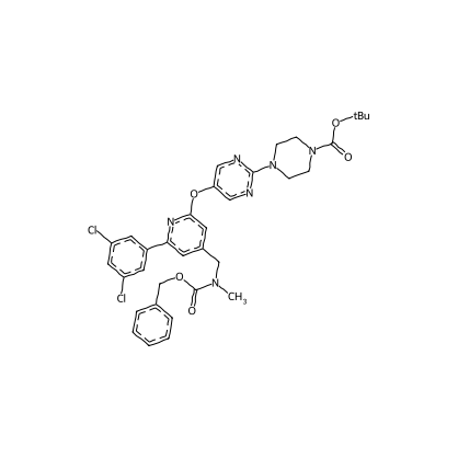 CN(Cc1cc(Oc2cnc(N3CCN(C(=O)OC(C)(C)C)CC3)nc2)nc(-c2cc(Cl)cc(Cl)c2)c1)C(=O)OCc1ccccc1